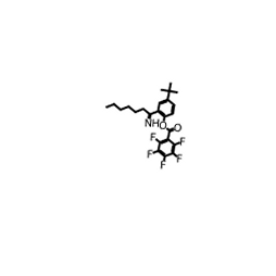 CCCCCCC(=N)c1cc(C(C)(C)C)ccc1OC(=O)c1c(F)c(F)c(F)c(F)c1F